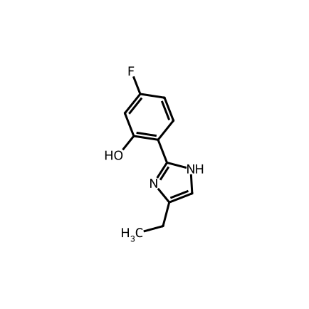 CCc1c[nH]c(-c2ccc(F)cc2O)n1